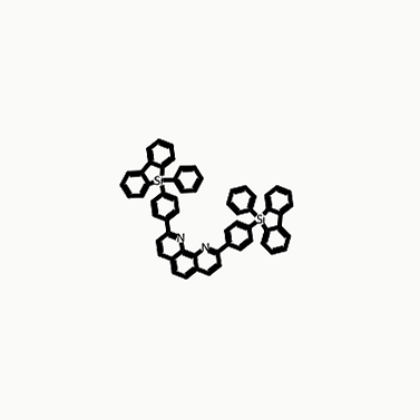 c1ccc([Si]2(c3ccc(-c4ccc5ccc6ccc(-c7ccc([Si]8(c9ccccc9)c9ccccc9-c9ccccc98)cc7)nc6c5n4)cc3)c3ccccc3-c3ccccc32)cc1